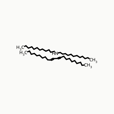 CCCCCCCCCC#CC#CCCCCCCCCC.CCCCCCCCCCCCNCCCCCCCCCCCC